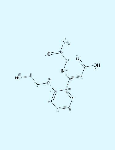 NC(=O)CNC(=CC(=O)O)c1ccccc1OCCO